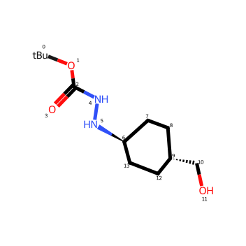 CC(C)(C)OC(=O)NN[C@H]1CC[C@H](CO)CC1